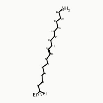 CCC(CC)CCCCCCCC=CCCCCCCCCN